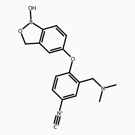 [C-]#[N+]c1ccc(Oc2ccc3c(c2)COB3O)c(CN(C)C)c1